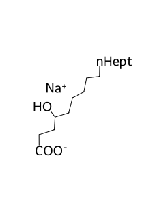 CCCCCCCCCCCCC(O)CCC(=O)[O-].[Na+]